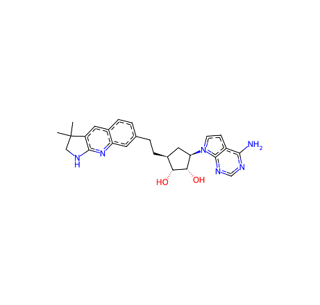 CC1(C)CNc2nc3cc(CC[C@H]4C[C@@H](n5ccc6c(N)ncnc65)[C@H](O)[C@@H]4O)ccc3cc21